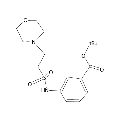 CC(C)(C)OC(=O)c1cccc(NS(=O)(=O)CCN2CCOCC2)c1